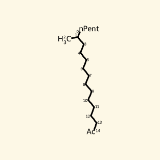 CCCCCC(C)CCCCCCCCCCCC(C)=O